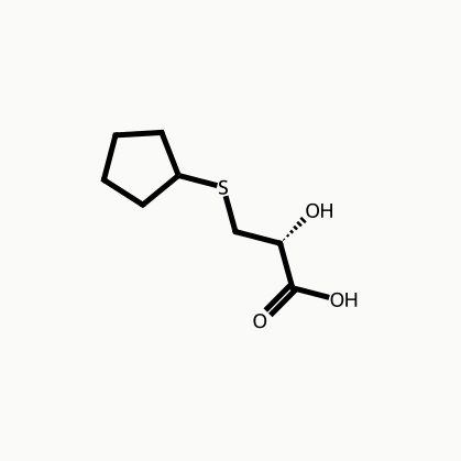 O=C(O)[C@@H](O)CSC1CCCC1